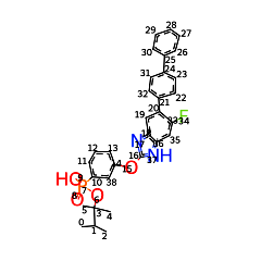 CC(C)C(C)(C)OP(=O)(O)c1cccc(Oc2nc3cc(-c4ccc(-c5ccccc5)cc4)c(F)cc3[nH]2)c1